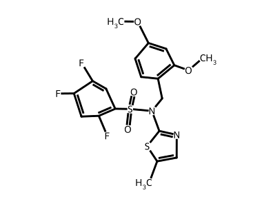 COc1ccc(CN(c2ncc(C)s2)S(=O)(=O)c2cc(F)c(F)cc2F)c(OC)c1